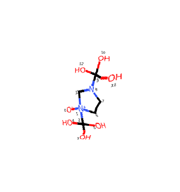 [O-][N+]1(C(O)(O)O)CCN(C(O)(O)O)C1